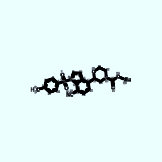 Cc1ccc(S(=O)(=O)n2ccc3c(C4CN(C(=O)OC(C)(C)C)CCO4)ccc(C#N)c32)cc1